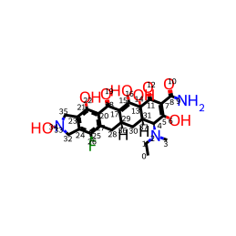 CCN(C)[C@@H]1C(O)=C(C(N)=O)C(=O)[C@@]2(O)C(O)=C3C(=O)c4c(O)c5c(c(F)c4C[C@H]3C[C@@H]12)CN(O)C5